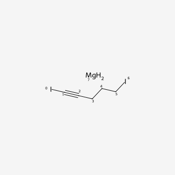 IC#CCCCI.[MgH2]